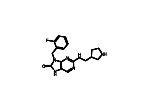 O=c1[nH]c2cnc(NCC3CCNC3)nc2n1Cc1ccccc1F